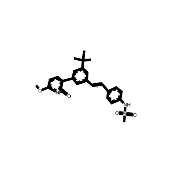 COc1ccc(-c2cc(/C=C/c3ccc(NS(C)(=O)=O)cc3)cc(C(C)(C)C)c2)c(=O)[nH]1